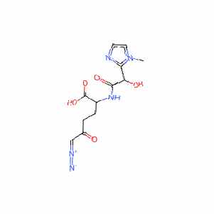 Cn1ccnc1C(O)C(=O)NC(CCC(=O)C=[N+]=[N-])C(=O)O